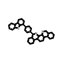 c1ccc2c(c1)cnc1c2ccc2c3ccccc3c(-c3ccc(-c4cccc5c4sc4ccccc45)cc3)nc21